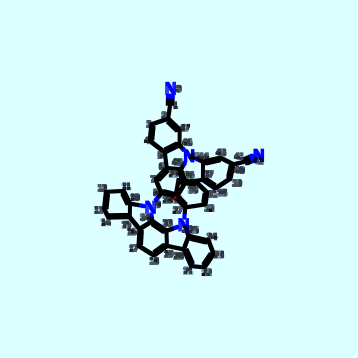 N#Cc1ccc2c3cc(-n4c5ccccc5c5ccc6c7ccccc7n(-c7ccccc7)c6c54)cc4c5ccc(C#N)cc5n(c2c1)c34